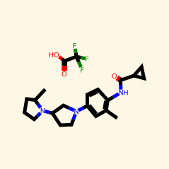 Cc1cc(N2CCC(N3CCCC3C)C2)ccc1NC(=O)C1CC1.O=C(O)C(F)(F)F